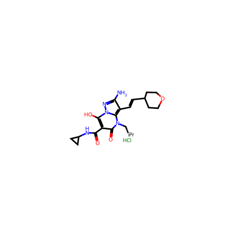 CC(C)Cn1c(=O)c(C(=O)NC2CC2)c(O)n2nc(N)c(/C=C/C3CCOCC3)c12.Cl